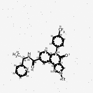 CCn1cc2c(=O)n(-c3ccc(C(F)(F)F)cc3)c3ncc(C(=O)N[C@@H](C)c4ccccn4)cc3c2n1